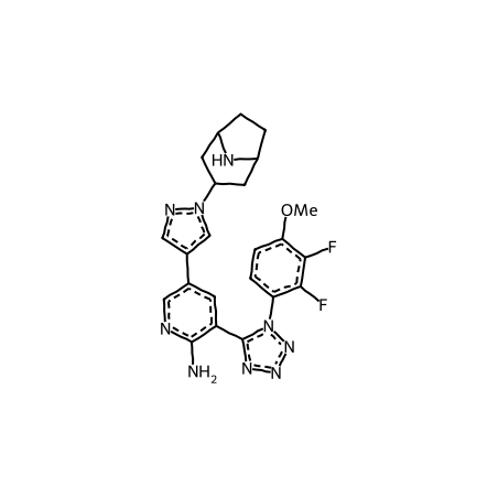 COc1ccc(-n2nnnc2-c2cc(-c3cnn(C4CC5CCC(C4)N5)c3)cnc2N)c(F)c1F